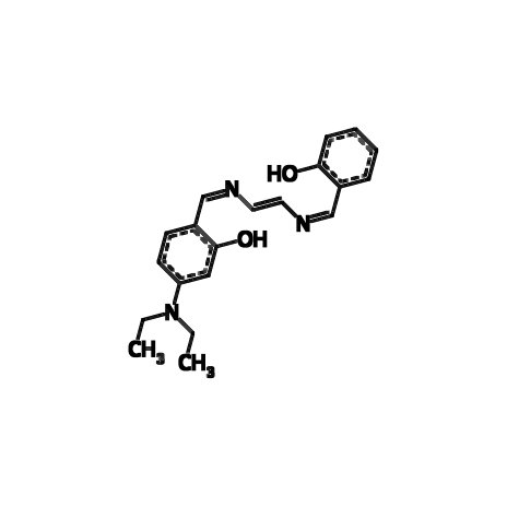 CCN(CC)c1ccc(\C=N/C=C/N=C\c2ccccc2O)c(O)c1